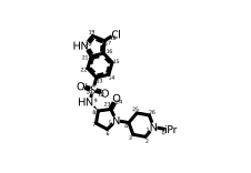 CC(C)N1CCC(N2CC[C@H](NS(=O)(=O)c3ccc4c(Cl)c[nH]c4c3)C2=O)CC1